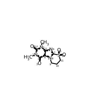 Cn1c(=O)c2c(nc3n2CCCS3(=O)=O)n(C)c1=O